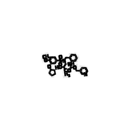 COc1ccc(S(=O)(=O)N(Cc2ccccc2)[C@H](NC(=O)OCc2cccnc2)[C@@H](C)O)cc1OC1CCCC1